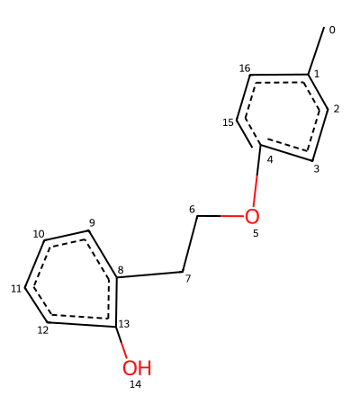 Cc1ccc(OCCc2ccccc2O)cc1